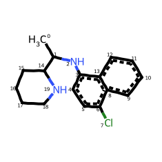 CC(Nc1ccc(Cl)c2ccccc12)C1CCCCN1